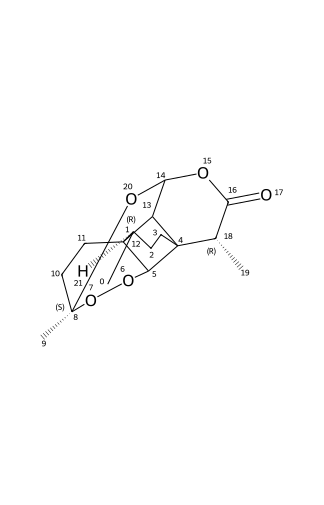 C[C@@H]1CCC23C4OO[C@@]5(C)CCC41C2C(OC(=O)[C@@H]3C)O5